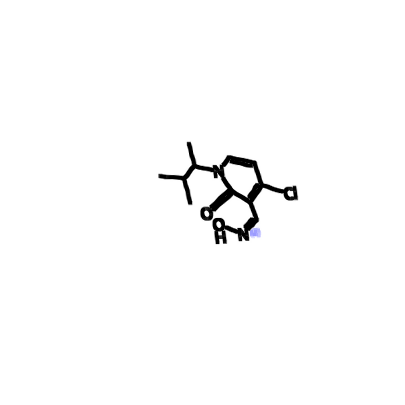 CC(C)C(C)n1ccc(Cl)c(/C=N\O)c1=O